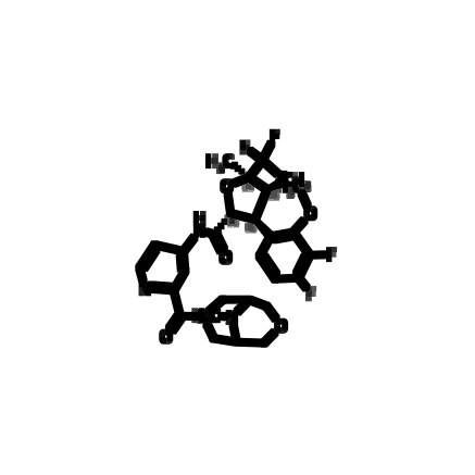 COc1c([C@H]2[C@H](C(=O)Nc3ccnc(C(=O)N4CC5COCC(C4)N5C)c3)O[C@@](C)(C(F)(F)F)[C@H]2C)ccc(F)c1F